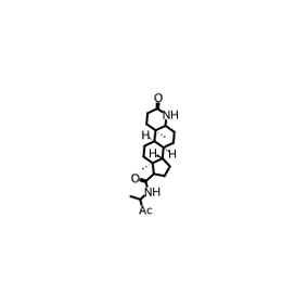 CC(=O)C(C)NC(=O)C1CC[C@H]2[C@@H]3CCC4NC(=O)CC[C@]4(C)[C@@H]3CC[C@]12C